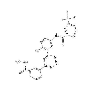 CNC(=O)c1cc(-c2nccc(-c3cc(NC(=O)c4ccnc(C(F)(F)F)c4)cnc3C)n2)ccn1